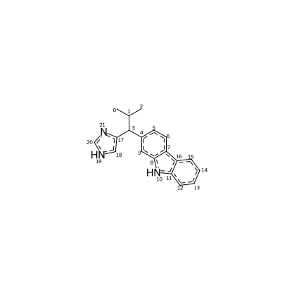 CC(C)C(c1ccc2c(c1)[nH]c1ccccc12)c1c[nH]cn1